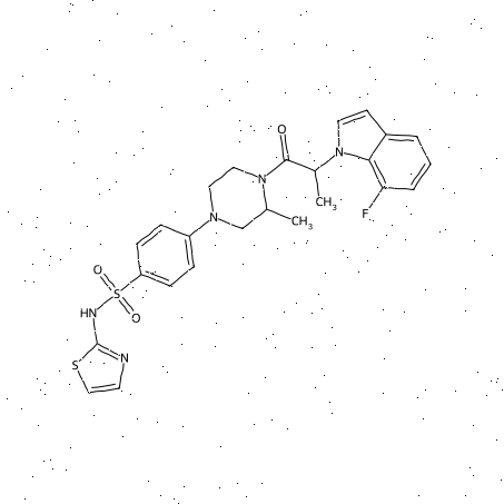 CC1CN(c2ccc(S(=O)(=O)Nc3nccs3)cc2)CCN1C(=O)C(C)n1ccc2cccc(F)c21